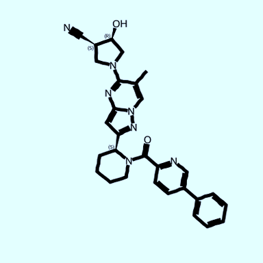 Cc1cn2nc([C@@H]3CCCCN3C(=O)c3ccc(-c4ccccc4)cn3)cc2nc1N1C[C@@H](C#N)[C@@H](O)C1